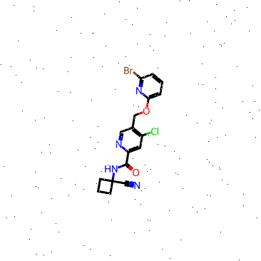 N#CC1(NC(=O)c2cc(Cl)c(COc3cccc(Br)n3)cn2)CCC1